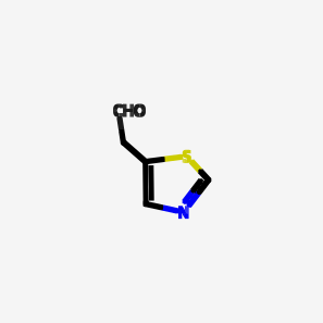 O=CCc1cncs1